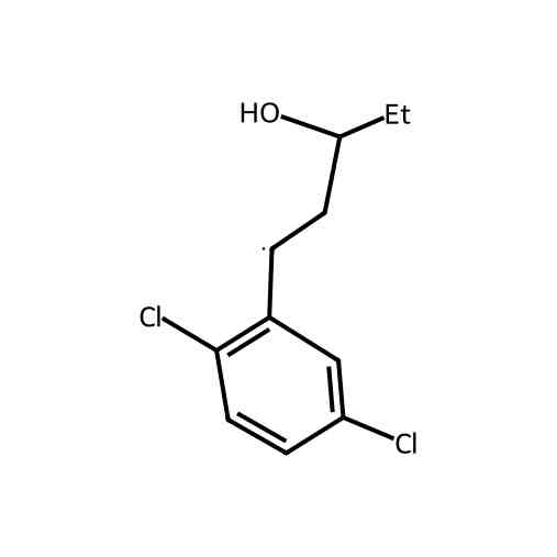 CCC(O)C[CH]c1cc(Cl)ccc1Cl